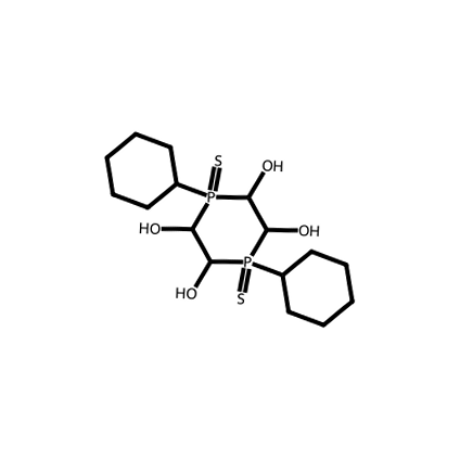 OC1C(O)P(=S)(C2CCCCC2)C(O)C(O)P1(=S)C1CCCCC1